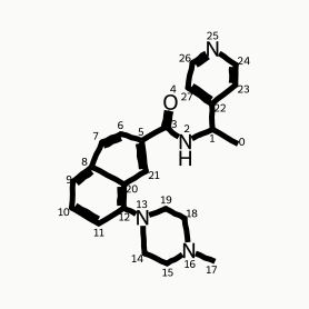 CC(NC(=O)c1ccc2cccc(N3CCN(C)CC3)c2c1)c1ccncc1